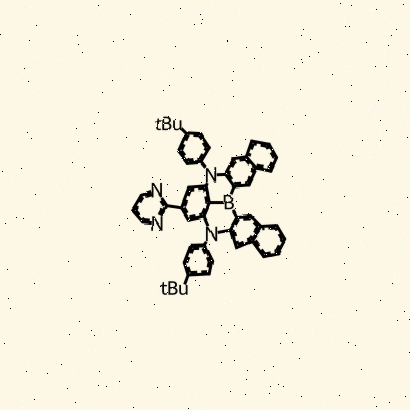 CC(C)(C)c1ccc(N2c3cc4ccccc4cc3B3c4cc5ccccc5cc4N(c4ccc(C(C)(C)C)cc4)c4cc(-c5ncccn5)cc2c43)cc1